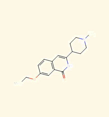 COCOc1ccc2cc(C3CCN(C)CC3)[nH]c(=O)c2c1